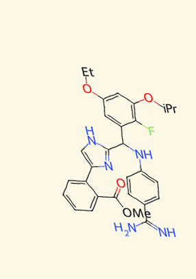 CCOc1cc(OC(C)C)c(F)c(C(Nc2ccc(C(=N)N)cc2)c2nc(-c3ccccc3C(=O)OC)c[nH]2)c1